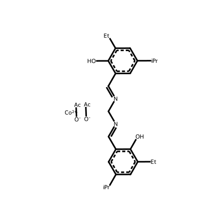 CC(=O)[O-].CC(=O)[O-].CCc1cc(C(C)C)cc(C=NCN=Cc2cc(C(C)C)cc(CC)c2O)c1O.[Co+2]